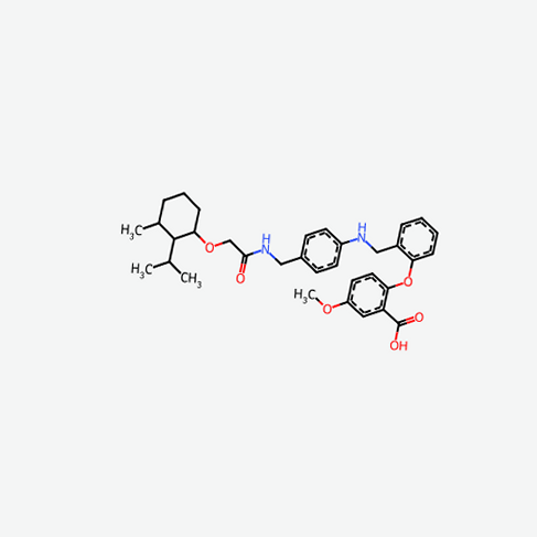 COc1ccc(Oc2ccccc2CNc2ccc(CNC(=O)COC3CCCC(C)C3C(C)C)cc2)c(C(=O)O)c1